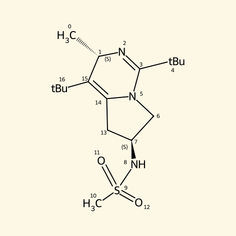 C[C@@H]1N=C(C(C)(C)C)N2C[C@@H](NS(C)(=O)=O)CC2=C1C(C)(C)C